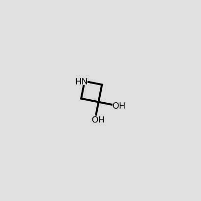 OC1(O)CNC1